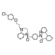 O=C(Nc1ccc(C(=O)N2CCCN(CCCOc3ccc(Cl)cc3)c3ccccc32)cc1)c1ccccc1-c1ccccc1